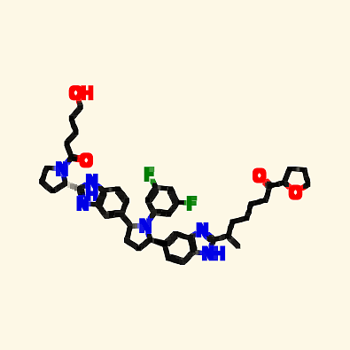 CC(CCCCC(=O)C1CCCO1)c1nc2cc([C@H]3CCC(c4ccc5[nH]c([C@@H]6CCCN6C(=O)CCCCO)nc5c4)N3c3cc(F)cc(F)c3)ccc2[nH]1